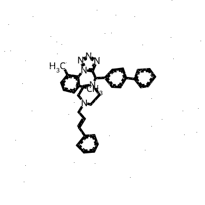 Cc1cccc(C)c1-n1nnnc1C(c1ccc(-c2ccccc2)cc1)N1CCN(CC=Cc2ccccc2)CC1